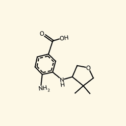 CC1(C)COCC1Nc1cc(C(=O)O)ccc1N